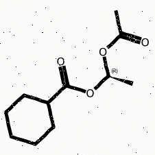 CC(=O)O[C@@H](C)OC(=O)C1CCCCC1